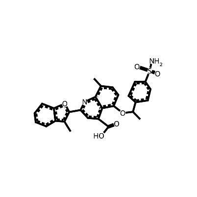 Cc1c(-c2cc(C(=O)O)c3c(OC(C)c4ccc(S(N)(=O)=O)cc4)ccc(C)c3n2)oc2ccccc12